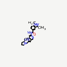 Cc1nn(C)c2ccc(C(=O)Nc3cc4[nH]c(CN5CCC[C@@H]5C)cc4cn3)cc12